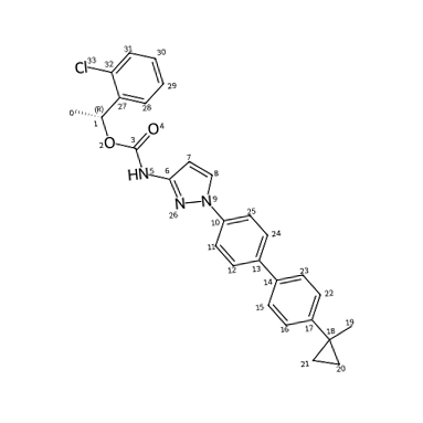 C[C@@H](OC(=O)Nc1ccn(-c2ccc(-c3ccc(C4(C)CC4)cc3)cc2)n1)c1ccccc1Cl